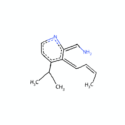 C\C=C/C=c1/c(C(C)C)ccn/c1=C/N